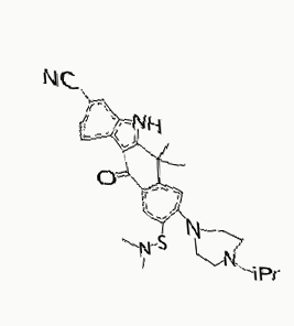 CC(C)N1CCN(c2cc3c(cc2SN(C)C)C(=O)c2c([nH]c4cc(C#N)ccc24)C3(C)C)CC1